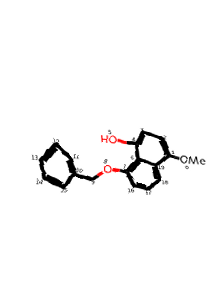 COc1ccc(O)c2c(OCc3ccccc3)cccc12